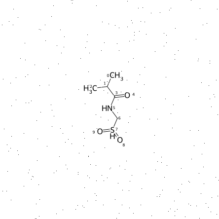 CC(C)C(=O)NC[SH](=O)=O